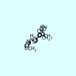 CC1OCCn2nc(Nc3nccc(-c4cc(C#N)c5c(c4)C(C)(C)CN5C(=O)OC(C)(C)C)n3)cc21